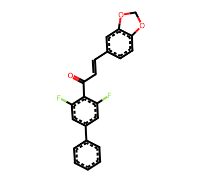 O=C(/C=C/c1ccc2c(c1)OCO2)c1c(F)cc(-c2ccccc2)cc1F